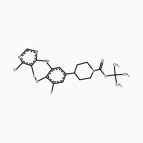 CC(C)(C)OC(=O)N1CCC(c2cc(F)c3c(c2)Nc2ncnc(Cl)c2CO3)CC1